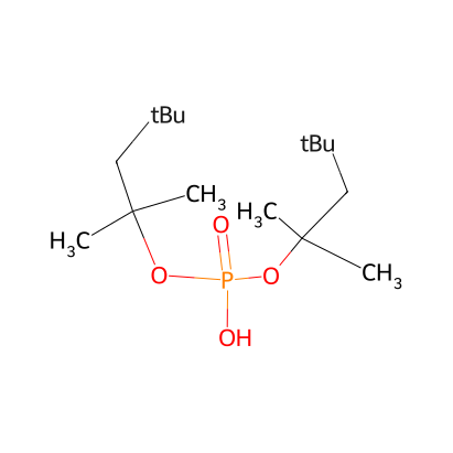 CC(C)(C)CC(C)(C)OP(=O)(O)OC(C)(C)CC(C)(C)C